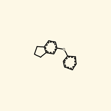 [c]1ccc(Oc2ccc3c(c2)CCC3)cc1